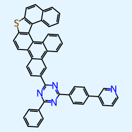 c1ccc(-c2nc(-c3ccc(-c4cccnc4)cc3)nc(-c3ccc4c(c3)c3ccccc3c3c4ccc4sc5ccc6ccccc6c5c43)n2)cc1